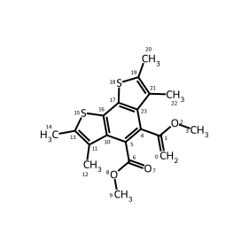 C=C(OC)c1c(C(=O)OC)c2c(C)c(C)sc2c2sc(C)c(C)c12